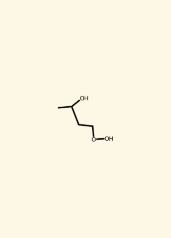 CC(O)CCOO